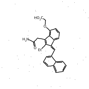 CCC1=C(CC(N)=O)c2c(OCC(=O)O)cccc2C1=Cc1cccc2ccccc12